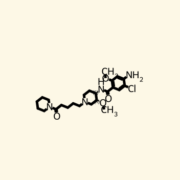 COc1cc(N)c(Cl)cc1C(=O)N[C@H]1CCN(CCCCC(=O)N2CCCCC2)C[C@H]1OC